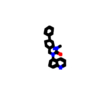 CNC(=O)N(CC1CCC(c2ccccc2)CC1)c1cccc2ncccc12